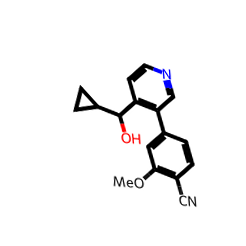 COc1cc(-c2cnccc2C(O)C2CC2)ccc1C#N